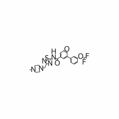 CN1CCN(Cc2nsc(NC(=O)C3=CC4OC4C(c4cccc(OC(F)F)c4)=C3)n2)CC1